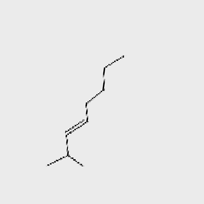 [CH2]CCC/C=C/C(C)C